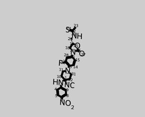 [C-]#[N+]C1(Nc2ccc([N+](=O)[O-])cc2)CCN(c2ccc(N3C[C@H](CNC(C)=S)OC3=O)cc2F)CC1